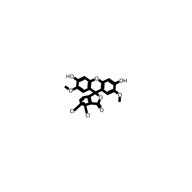 COc1cc2c(cc1O)Oc1cc(O)c(OC)cc1C21OC(=O)c2c1ccc(Cl)c2Cl